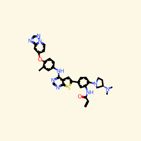 C=CC(=O)Nc1cc(-c2cc3c(Nc4ccc(Oc5ccn6ncnc6c5)c(C)c4)ncnc3s2)ccc1N1CC[C@@H](N(C)C)C1